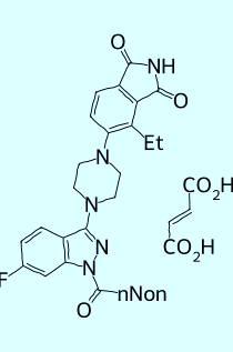 CCCCCCCCCC(=O)n1nc(N2CCN(c3ccc4c(c3CC)C(=O)NC4=O)CC2)c2ccc(F)cc21.O=C(O)C=CC(=O)O